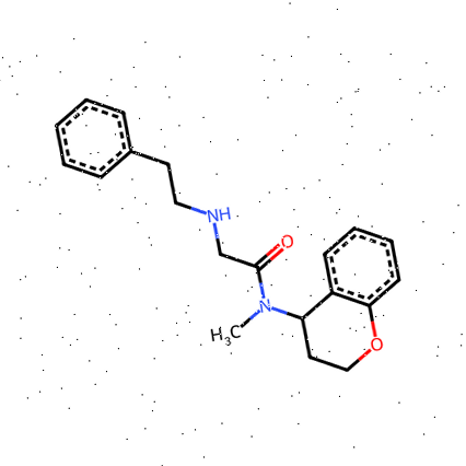 CN(C(=O)CNCCc1ccccc1)C1CCOc2ccccc21